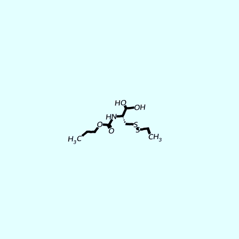 CCCOC(=O)N[C@@H](CSSCC)C(O)O